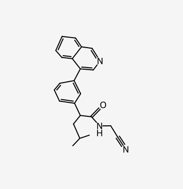 CC(C)CC(C(=O)NCC#N)c1cccc(-c2cncc3ccccc23)c1